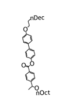 CCCCCCCCCCCCOc1ccc(-c2ccc(OC(=O)c3ccc(C(C)OCCCCCCCC)cc3)cc2)cc1